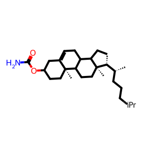 CC(C)CCC[C@@H](C)[C@H]1CCC2C3CC=C4CC(OC(N)=O)CC[C@]4(C)C3CC[C@@]21C